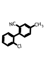 Cc1ccc(-c2ccccc2Cl)c(C#N)c1